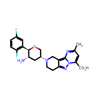 Cc1cc(C(=O)O)n2nc3c(c2n1)CN([C@H]1CO[C@H](c2cc(F)ccc2F)[C@@H](N)C1)CC3